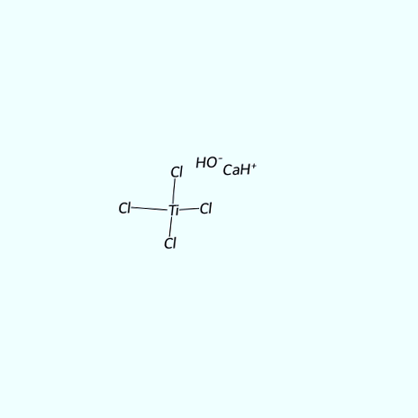 [CaH+].[Cl][Ti]([Cl])([Cl])[Cl].[OH-]